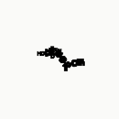 Nc1ncc(-c2ccc([C@@]34C[C@@H]3CN(C3CCS(O)(O)CC3)C4)cc2)cc1C(=O)NC1CCC(O)CC1